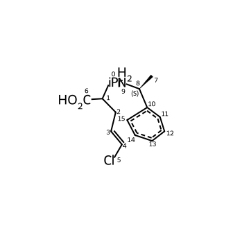 CC(C)C(CC=CCl)C(=O)O.C[C@H](N)c1ccccc1